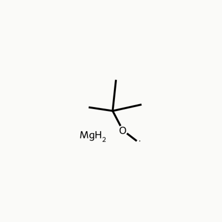 [CH2]OC(C)(C)C.[MgH2]